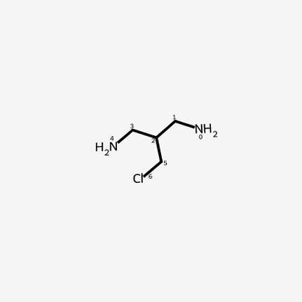 NCC(CN)CCl